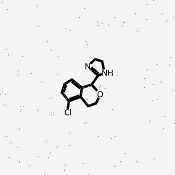 Clc1cccc2c1CCOC2C1=NCCN1